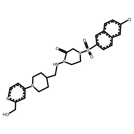 O=C1CN(S(=O)(=O)c2ccc3cc(Cl)ccc3c2)CCN1NCC1CCN(c2ccnc(CO)c2)CC1